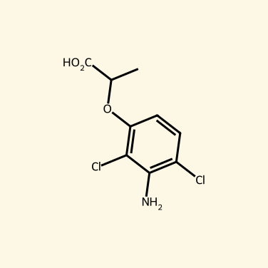 CC(Oc1ccc(Cl)c(N)c1Cl)C(=O)O